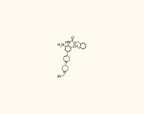 Cc1cc(C2=CCN(C3CCN(CC(C)C)CC3)CC2)cc(N)c1NC(=O)OCc1ccccc1